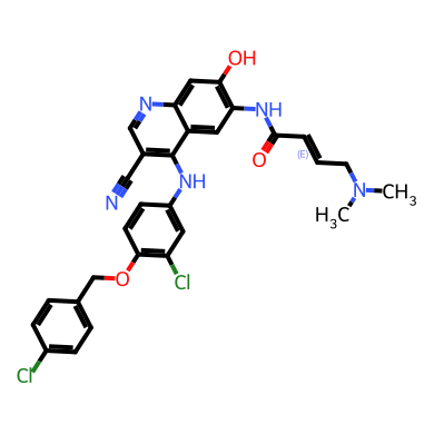 CN(C)C/C=C/C(=O)Nc1cc2c(Nc3ccc(OCc4ccc(Cl)cc4)c(Cl)c3)c(C#N)cnc2cc1O